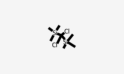 C[Si](C)(C)C(Cl)(Cl)[Si](C)(C)C